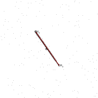 CCCCCCCCCCCCCCCCCCCCCCCCCCCCCCCCCCCC(=O)CCCCCCCCCCCCCCCCCCCCCCCCCCCCCCCCCCC